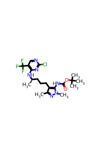 Cc1nn(C)c(NC(=O)OC(C)(C)C)c1CCC[C@@H](C)Nc1nc(Cl)ncc1C(F)(F)F